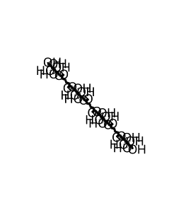 O=C(CCCCC(=O)OC[C@H](O)[C@@H](O)[C@H](O)[C@H](O)COC(=O)CCCCC(=O)OC[C@@H](O)[C@@H](O)[C@H](O)[C@@H](O)COC(=O)CCCCC(=O)OC[C@@H](O)[C@@H](O)[C@H](O)[C@@H](O)CO)OC[C@@H](O)[C@@H](O)[C@H](O)[C@@H](O)CO